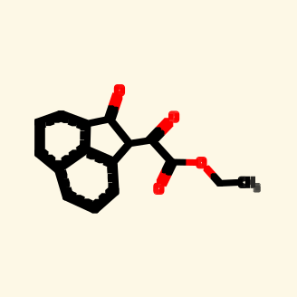 CCOC(=O)C(=O)C1C(=O)c2cccc3cccc1c23